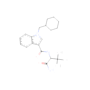 CC(C)(C)C(NC(=O)c1cn(CC2CCCCC2)c2ccccc12)C(N)=O